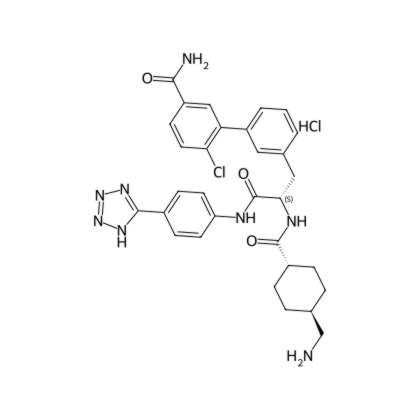 Cl.NC[C@H]1CC[C@H](C(=O)N[C@@H](Cc2cccc(-c3cc(C(N)=O)ccc3Cl)c2)C(=O)Nc2ccc(-c3nnn[nH]3)cc2)CC1